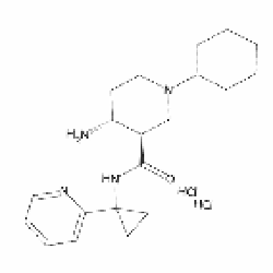 Cl.Cl.N[C@@H]1CCN(C2CCCCC2)C[C@H]1C(=O)NC1(c2ccccn2)CC1